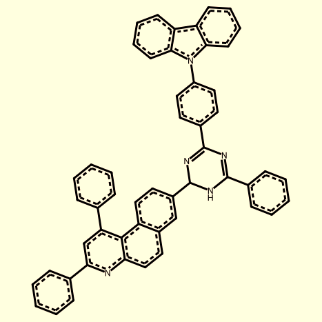 c1ccc(C2=NC(c3ccc(-n4c5ccccc5c5ccccc54)cc3)=NC(c3ccc4c(ccc5nc(-c6ccccc6)cc(-c6ccccc6)c54)c3)N2)cc1